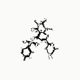 Cc1ccc(S(=O)(=O)Oc2cc(C3CNCCO3)nc3c2c(=O)n(C)c(=O)n3C)cc1